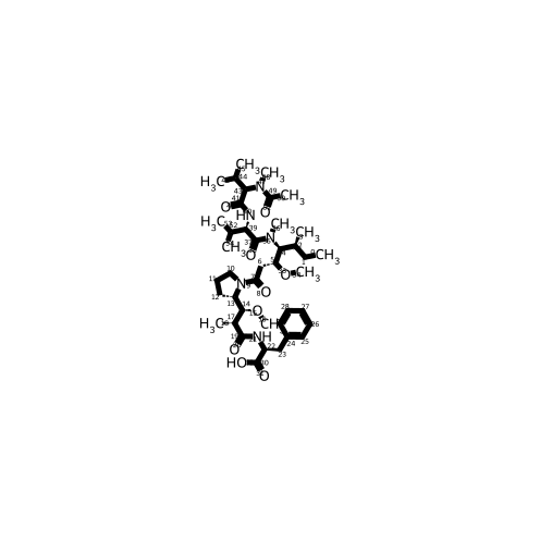 CC[C@H](C)[C@@H]([C@@H](CC(=O)N1CCC[C@H]1[C@H](OC)[C@@H](C)C(=O)N[C@@H](Cc1ccccc1)C(=O)O)OC)N(C)C(=O)[C@@H](NC(=O)C(C(C)C)N(C)C(C)=O)C(C)C